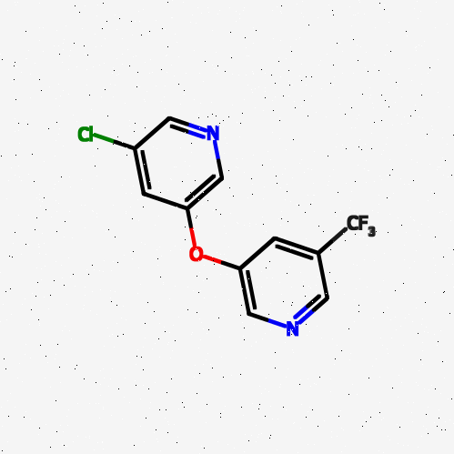 FC(F)(F)c1cncc(Oc2cncc(Cl)c2)c1